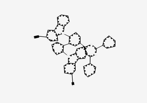 N#Cc1ccc2c(c1)c1ccccc1n2-c1ccccc1-c1cc(-c2cc(-c3ccccc3)nc(-c3ccccc3)n2)ccc1-n1c2ccccc2c2cc(C#N)ccc21